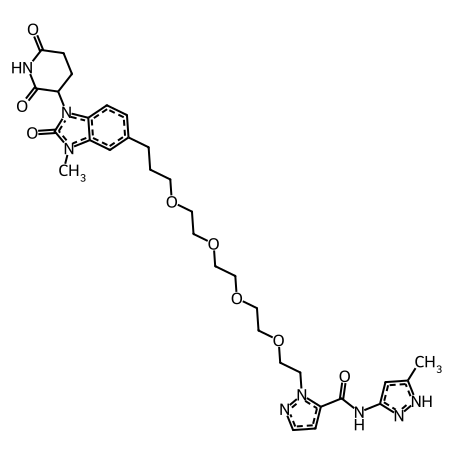 Cc1cc(NC(=O)c2ccnn2CCOCCOCCOCCOCCCc2ccc3c(c2)n(C)c(=O)n3C2CCC(=O)NC2=O)n[nH]1